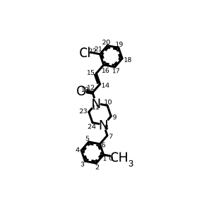 Cc1ccccc1CN1CCN(C(=O)C=Cc2ccccc2Cl)CC1